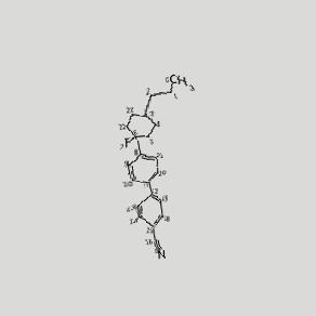 CCCC1CCC(F)(c2ccc(-c3ccc(C#N)cc3)cc2)CC1